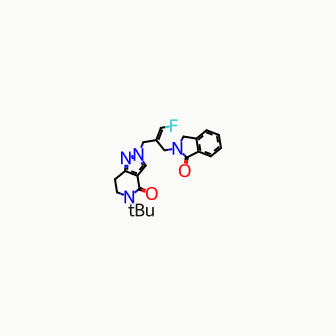 CC(C)(C)N1CCc2nn(C/C(=C/F)CN3Cc4ccccc4C3=O)cc2C1=O